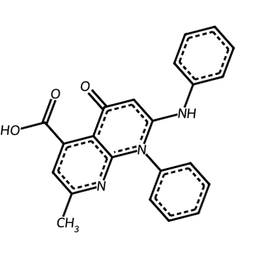 Cc1cc(C(=O)O)c2c(=O)cc(Nc3ccccc3)n(-c3ccccc3)c2n1